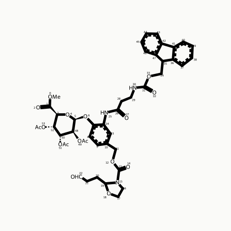 COC(=O)[C@H]1O[C@@H](Oc2ccc(COC(=O)N3CCOC3CCC=O)cc2NC(=O)CCNC(=O)OCC2c3ccccc3-c3ccccc32)[C@@H](OC(C)=O)[C@H](OC(C)=O)[C@@H]1OC(C)=O